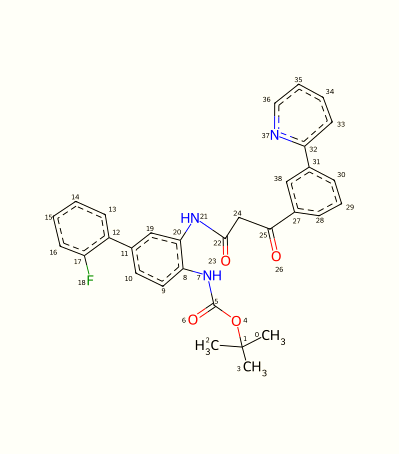 CC(C)(C)OC(=O)Nc1ccc(-c2ccccc2F)cc1NC(=O)CC(=O)c1cccc(-c2ccccn2)c1